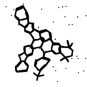 CC(C)(C)c1ccc(N2B3c4cc5c(cc4-n4c6cc7sc8ccccc8c7cc6c6ccc(c3c64)-c3cc4c(cc32)C(C)(C)CCC4(C)C)sc2ccccc25)cc1